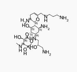 CN[C@@H]1[C@@H](O)[C@@H](O[C@H]2[C@H](NCC(O)CN)C[C@H](N)C([C@H]3OC(CNCCCN)=CC[C@H]3N)[C@@H]2O)OC[C@]1(C)O